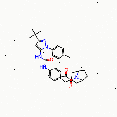 CC(=O)C(=O)N1C2CCC1CC(Cc1ccc(NC(=O)Nc3cc(C(C)(C)C)nn3-c3ccc(C)cc3)cc1)C2